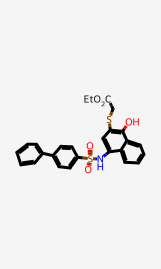 CCOC(=O)CSc1cc(NS(=O)(=O)c2ccc(-c3ccccc3)cc2)c2ccccc2c1O